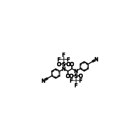 N#Cc1ccc(N(C(=O)C(=O)N(c2ccc(C#N)cc2)S(=O)(=O)C(F)(F)F)S(=O)(=O)C(F)(F)F)cc1